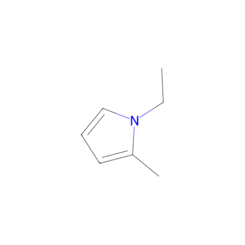 CCn1cccc1C